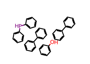 Oc1ccccc1.c1ccc(-c2ccccc2)cc1.c1ccc(-c2ccccc2)cc1.c1ccc(Pc2ccccc2)cc1